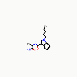 C=CCCCn1cc(C(=O)NC(C(N)=O)C(C)C)c2ccccc21